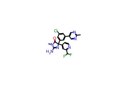 Cc1ncc(-c2cc(Cl)cc(C3(c4ccnc(C(F)F)c4)N=C(N)N(C)C3=O)c2)cn1